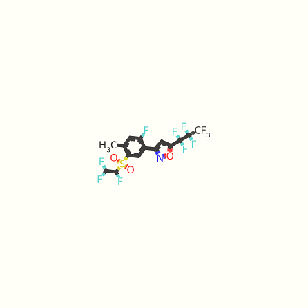 Cc1cc(F)c(-c2cc(C(F)(F)C(F)(F)C(F)(F)F)on2)cc1S(=O)(=O)C(F)C(F)F